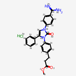 COC(=O)CCc1ccc(-n2c(-c3ccccc3)cn(-c3ccc(C(=N)N)cc3)c2=O)cc1.Cl